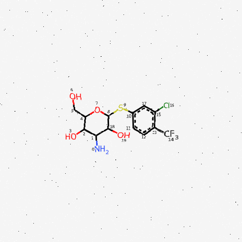 NC1C(O)C(CO)OC(Sc2ccc(C(F)(F)F)c(Cl)c2)C1O